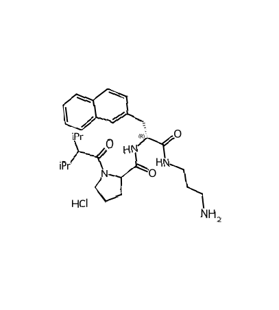 CC(C)C(C(=O)N1CCCC1C(=O)N[C@H](Cc1ccc2ccccc2c1)C(=O)NCCCN)C(C)C.Cl